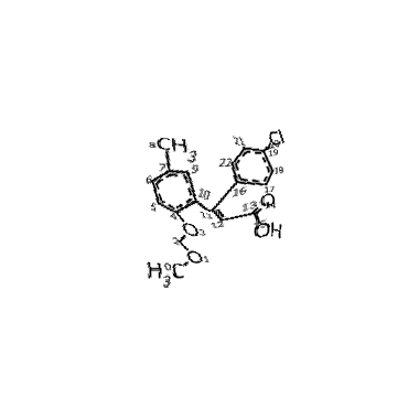 COCOc1ccc(C)cc1C(=CC(=O)O)c1ccc(Cl)cc1